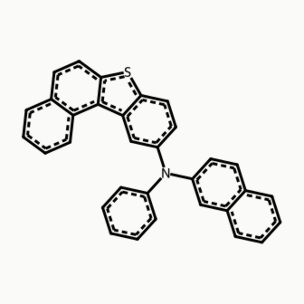 c1ccc(N(c2ccc3ccccc3c2)c2ccc3sc4ccc5ccccc5c4c3c2)cc1